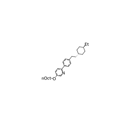 CCCCCCCCOc1ccc(-c2ccc(CC[C@H]3CC[C@H](CC)CC3)cc2)nc1